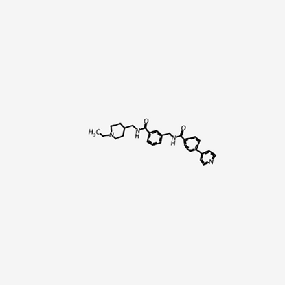 CCN1CCC(CNC(=O)c2cccc(CNC(=O)c3ccc(-c4ccncc4)cc3)c2)CC1